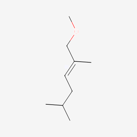 COC/C(C)=C/CC(C)C